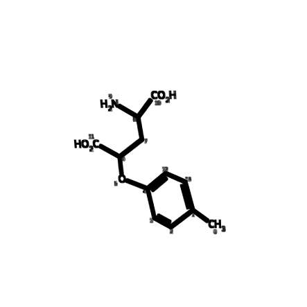 Cc1ccc(OC(CC(N)C(=O)O)C(=O)O)cc1